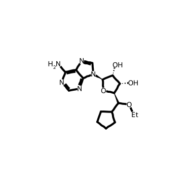 CCOC(C1CCCC1)[C@H]1O[C@@H](n2cnc3c(N)ncnc32)[C@H](O)[C@@H]1O